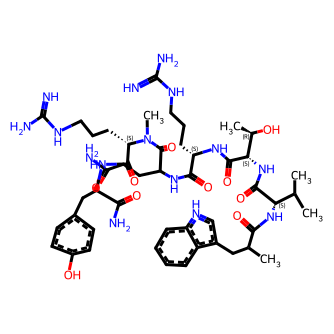 CC(Cc1c[nH]c2ccccc12)C(=O)N[C@H](C(=O)N[C@H](C(=O)N[C@@H](CCCNC(=N)N)C(=O)NC(CCC(N)=O)C(=O)N(C)[C@@H](CCCNC(=N)N)C(=O)NC(Cc1ccc(O)cc1)C(N)=O)[C@@H](C)O)C(C)C